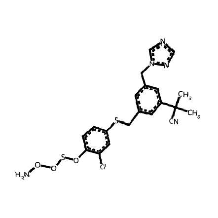 CC(C)(C#N)c1cc(CSc2ccc(OSOON)c(Cl)c2)cc(Cn2cncn2)c1